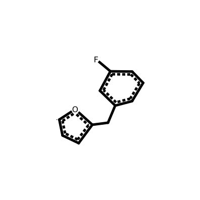 Fc1cccc(Cc2cc[c]o2)c1